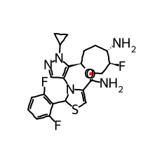 NC(=O)C1=CSC(c2c(F)cccc2F)N1c1cnn(C2CC2)c1[C@H]1CC[C@H](N)[C@@H](F)CO1